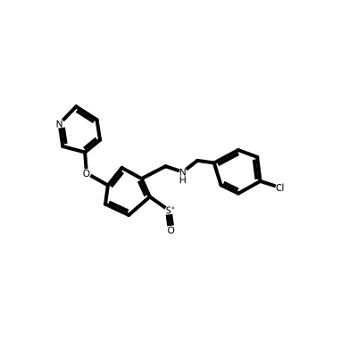 O=[S+]c1ccc(Oc2cccnc2)cc1CNCc1ccc(Cl)cc1